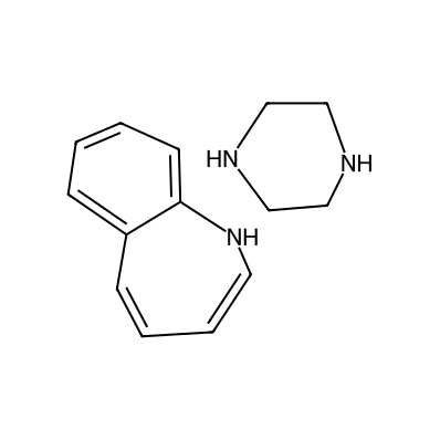 C1=CNc2ccccc2C=C1.C1CNCCN1